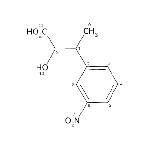 CC(c1cccc([N+](=O)[O-])c1)C(O)C(=O)O